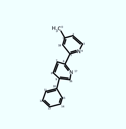 Cc1ccnc(-c2ccc(-c3ccccc3)cn2)c1